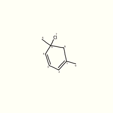 CC1=CC=CC(C)(Cl)C1